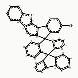 Clc1ccc2c(c1)C1(c3ccccc3C3(c4ccccc4-c4ccccc43)c3ccccc31)c1ccc3c(oc4ccccc43)c1-2